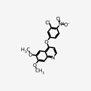 COc1cc2nccc(Oc3ccc([N+](=O)[O-])c(Cl)c3)c2cc1OC